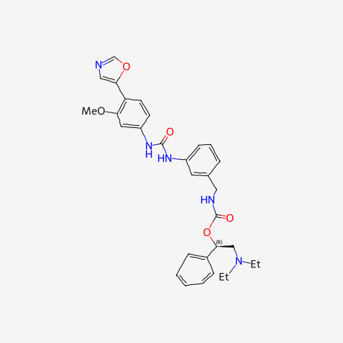 CCN(CC)C[C@H](OC(=O)NCc1cccc(NC(=O)Nc2ccc(-c3cnco3)c(OC)c2)c1)c1ccccc1